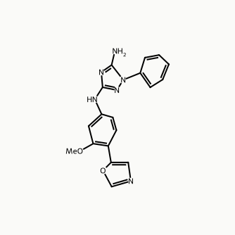 COc1cc(Nc2nc(N)n(-c3ccccc3)n2)ccc1-c1cnco1